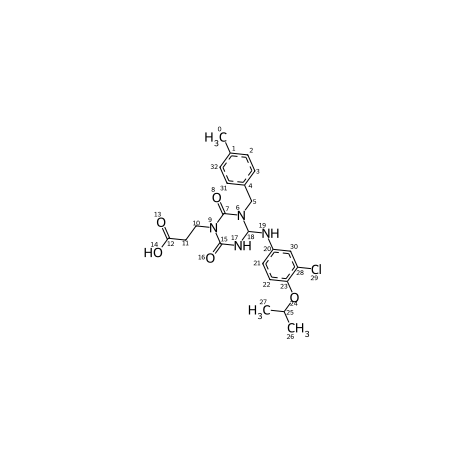 Cc1ccc(CN2C(=O)N(CCC(=O)O)C(=O)NC2Nc2ccc(OC(C)C)c(Cl)c2)cc1